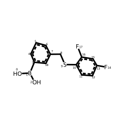 OB(O)c1cccc(CSc2ccc(F)cc2F)c1